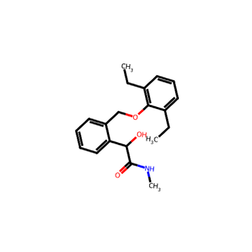 CCc1cccc(CC)c1OCc1ccccc1C(O)C(=O)NC